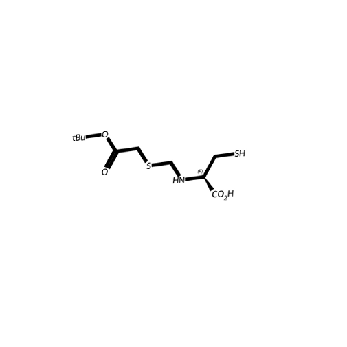 CC(C)(C)OC(=O)CSCN[C@@H](CS)C(=O)O